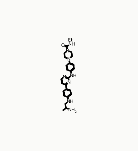 CCNC(=O)N1CCN(c2ccc(Nc3nccc(-c4ccc(NCC(C)N)cc4)n3)cc2)CC1